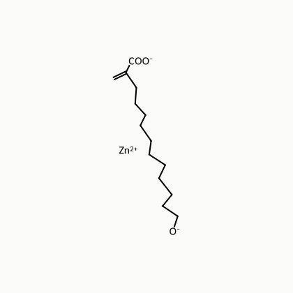 C=C(CCCCCCCCCCC[O-])C(=O)[O-].[Zn+2]